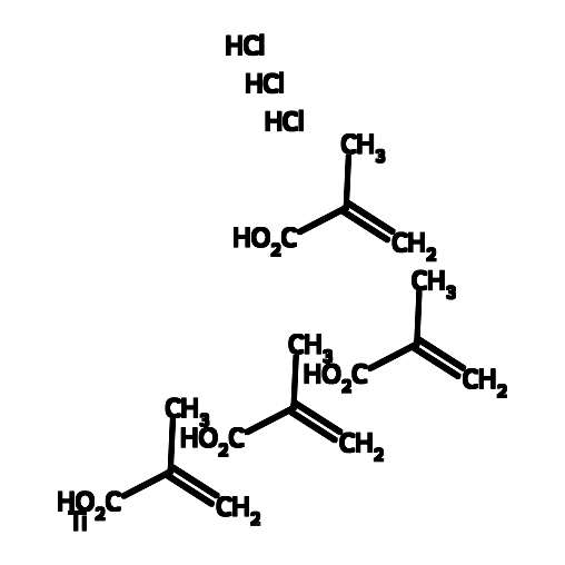 C=C(C)C(=O)O.C=C(C)C(=O)O.C=C(C)C(=O)O.C=C(C)C(=O)O.Cl.Cl.Cl.[Ti]